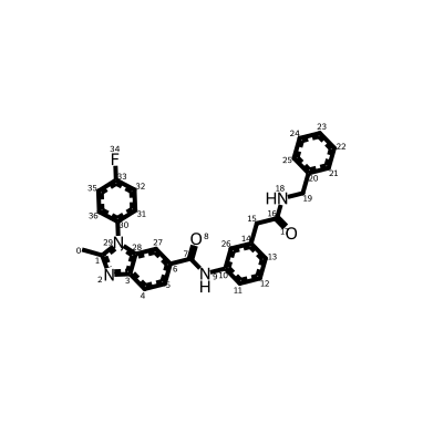 Cc1nc2ccc(C(=O)Nc3cccc(CC(=O)NCc4ccccc4)c3)cc2n1-c1ccc(F)cc1